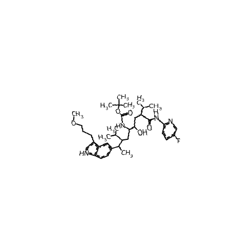 COCCCc1c[nH]c2ccc(C(C)C(CC(NC(=O)OC(C)(C)C)C(O)CC(C(=O)Nc3ccc(F)cn3)C(C)C)C(C)C)cc12